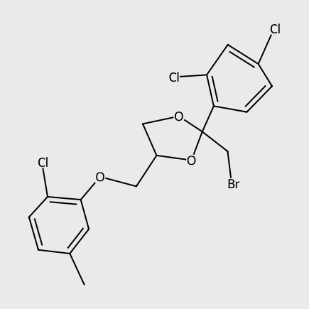 Cc1ccc(Cl)c(OCC2COC(CBr)(c3ccc(Cl)cc3Cl)O2)c1